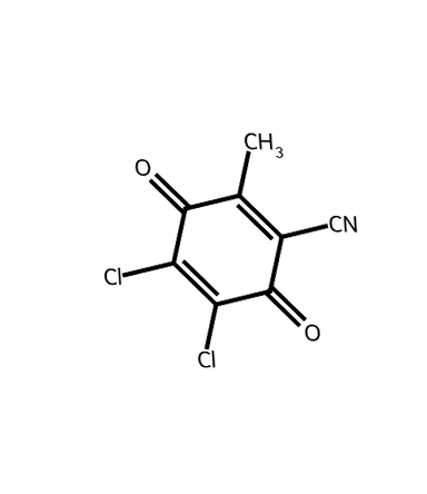 CC1=C(C#N)C(=O)C(Cl)=C(Cl)C1=O